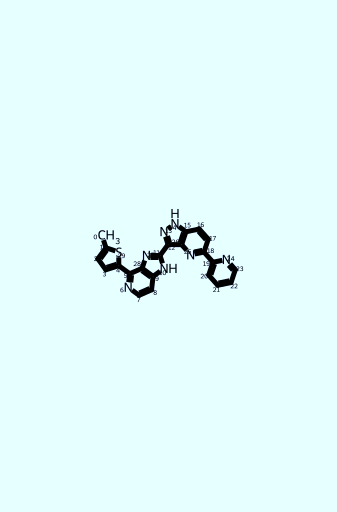 Cc1ccc(-c2nccc3[nH]c(-c4n[nH]c5ccc(-c6ccccn6)nc45)nc23)s1